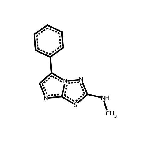 CNc1nn2c(-c3ccccc3)cnc2s1